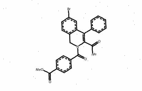 CCCC(=O)C1=C(c2ccccc2)c2cc(Br)ccc2CN1C(=O)c1ccc(C(=O)OC)cc1